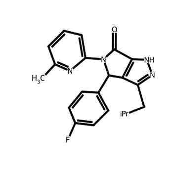 Cc1cccc(N2C(=O)c3[nH]nc(CC(C)C)c3C2c2ccc(F)cc2)n1